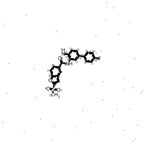 CS(=O)(=O)c1cc2cc(C(=O)Nc3cc(-c4ccc(F)cc4)ccc3N)ccc2o1